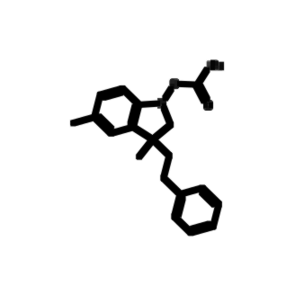 Cc1ccc2c(c1)C(C)(CCc1ccccc1)CN2OC(=O)C(C)(C)C